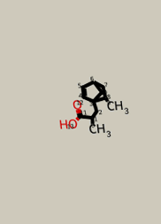 CC(CC12C=CC(CC1C)C2)C(=O)O